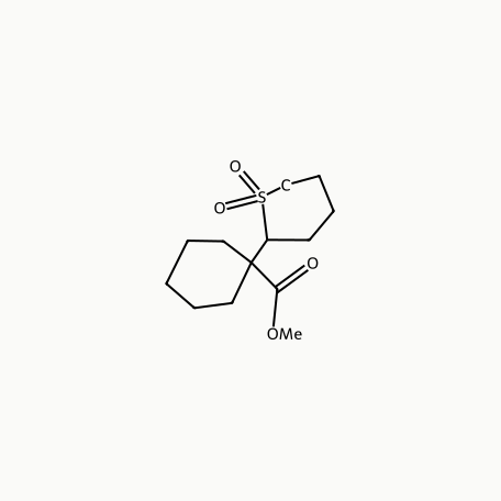 COC(=O)C1(C2CCCCS2(=O)=O)CCCCC1